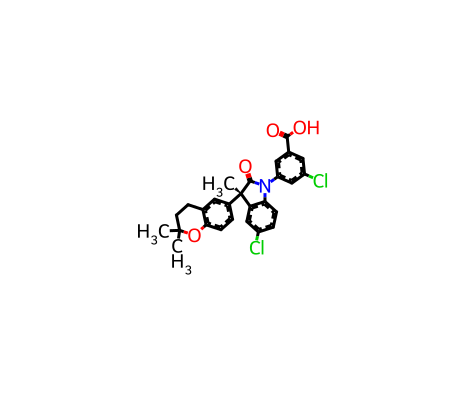 CC1(C)CCc2cc([C@]3(C)C(=O)N(c4cc(Cl)cc(C(=O)O)c4)c4ccc(Cl)cc43)ccc2O1